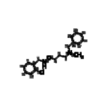 CN(CCCONCc1ccccc1Cl)Cc1ccccc1